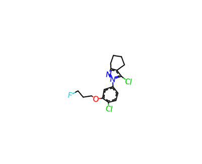 FCCCOc1cc(-n2nc3c(c2Cl)CCCC3)ccc1Cl